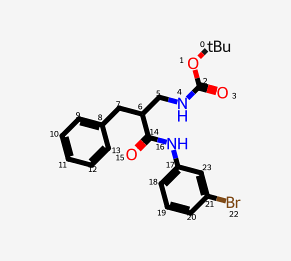 CC(C)(C)OC(=O)NCC(Cc1ccccc1)C(=O)Nc1cccc(Br)c1